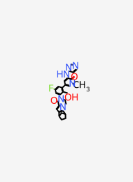 Cn1cc(-c2cc(F)cc(N3CCn4c(cc5c4C4CCC5C4)C3=O)c2CO)cc(Nc2ccncn2)c1=O